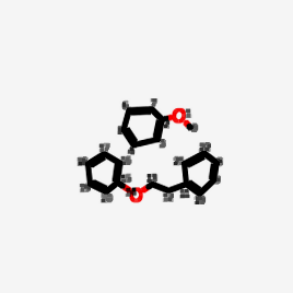 COc1ccccc1.c1ccc(CCOc2ccccc2)cc1